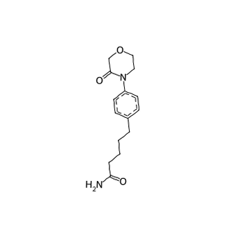 NC(=O)CCCCc1ccc(N2CCOCC2=O)cc1